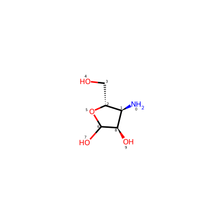 N[C@@H]1[C@@H](CO)OC(O)[C@@H]1O